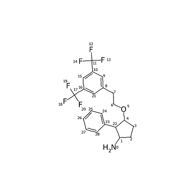 NC1CCC(OCCc2cc(C(F)(F)F)cc(C(F)(F)F)c2)C1c1ccccc1